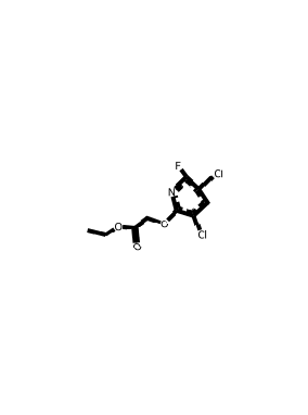 CCOC(=O)COc1nc(F)c(Cl)cc1Cl